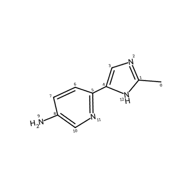 Cc1ncc(-c2ccc(N)cn2)[nH]1